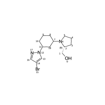 OC[C@H]1CCCN1C1CCCC(n2cc(Br)cn2)C1